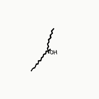 CCCCCCCCCCCCC(C)(CO)CCCCCCCCCC